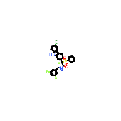 CN(Cc1cc(F)cc(F)c1)C(=O)C(F)(C1CCc2c([nH]c3ccc(Cl)cc23)C1)S(=O)(=O)c1ccccc1